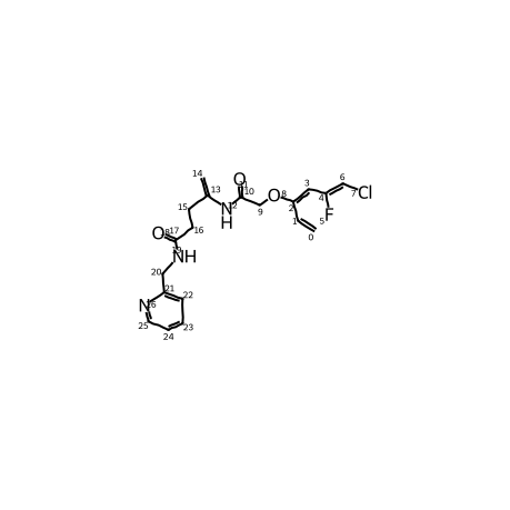 C=C/C(=C\C(F)=C\Cl)OCC(=O)NC(=C)CCC(=O)NCc1ccccn1